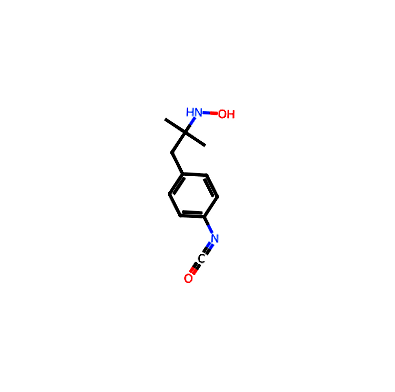 CC(C)(Cc1ccc(N=C=O)cc1)NO